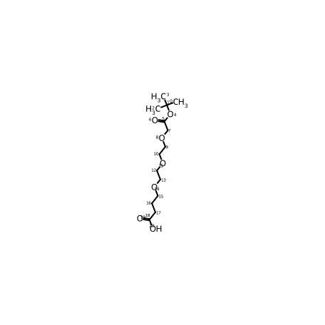 CC(C)(C)OC(=O)COCCOCCOCCCC(=O)O